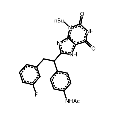 CCCCn1c(=O)[nH]c(=O)c2[nH]c(C(Cc3cccc(F)c3)c3ccc(NC(C)=O)cc3)nc21